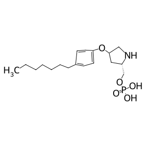 CCCCCCCc1ccc(OC2CN[C@H](COP(=O)(O)O)C2)cc1